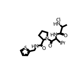 CC(NCl)C(=O)NC(C(=O)N1CCCC1C(=O)NCc1cccs1)C(C)C